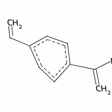 C=Cc1ccc(C(=C)I)cc1